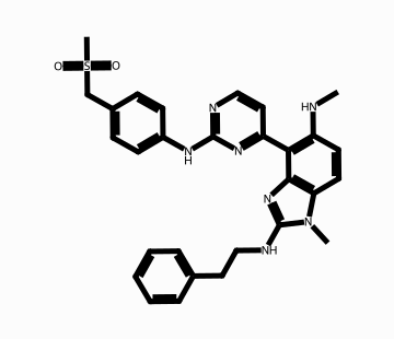 CNc1ccc2c(nc(NCCc3ccccc3)n2C)c1-c1ccnc(Nc2ccc(CS(C)(=O)=O)cc2)n1